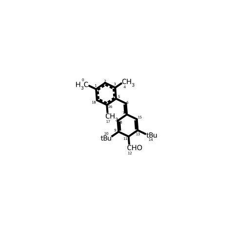 Cc1cc(C)c(C=C2C=C(C(C)(C)C)C(C=O)C(C(C)(C)C)=C2)c(C)c1